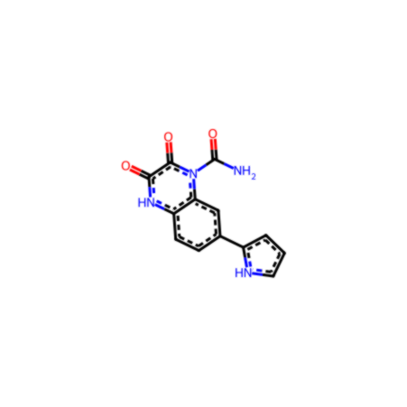 NC(=O)n1c(=O)c(=O)[nH]c2ccc(-c3ccc[nH]3)cc21